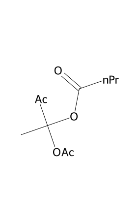 CCCC(=O)OC(C)(OC(C)=O)C(C)=O